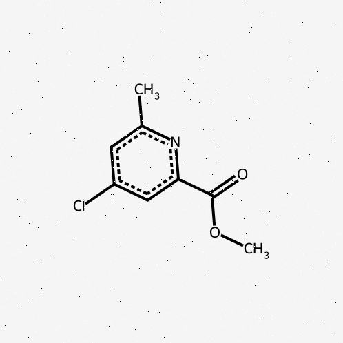 COC(=O)c1cc(Cl)cc(C)n1